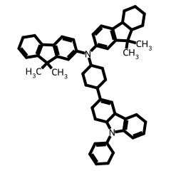 CC1(C)C2=C(CCC=C2)c2ccc(N(c3ccc4c(c3)C(C)(C)C3CCCCC43)C3CCC(C4=CC5C6=C(C=CCC6)N(C6=CC=CCC6)C5CC4)CC3)cc21